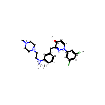 CN1CCN(CCN(C(=O)O)c2cccc(Cc3nn(-c4cc(F)cc(F)c4)ccc3=O)c2)CC1